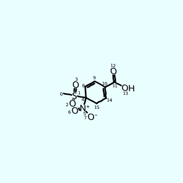 CS(=O)(=O)C1([N+](=O)[O-])C=CC(C(=O)O)=CC1